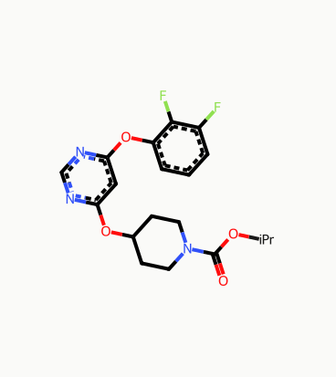 CC(C)OC(=O)N1CCC(Oc2cc(Oc3cccc(F)c3F)ncn2)CC1